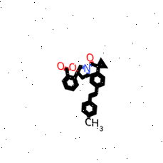 Cc1ccc(C=Cc2ccc(C3(C(=O)N4CCC5(C4)OC(=O)c4ccccc45)CC3)cc2)cc1